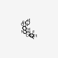 CCOC(=O)c1cnc2cc(OCC)c(N3CCN(C)CC3)cc2c1Nc1ccc(C)cc1F